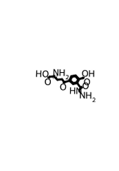 NNC(=O)c1cc(C(=O)CC[C@H](N)C(=O)O)ccc1C(=O)O